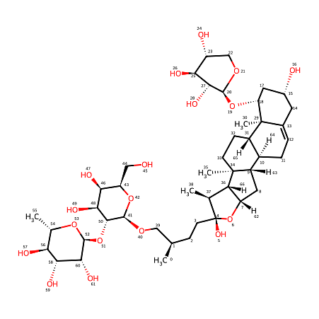 C[C@H](CC[C@@]1(O)O[C@H]2C[C@H]3[C@@H]4CC=C5C[C@@H](O)C[C@@H](O[C@@H]6OC[C@@H](O)[C@H](O)[C@H]6O)[C@]5(C)[C@H]4CC[C@]3(C)[C@H]2[C@@H]1C)CO[C@@H]1O[C@H](CO)[C@H](O)[C@H](O)[C@H]1O[C@@H]1O[C@@H](C)[C@H](O)[C@@H](O)[C@H]1O